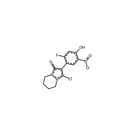 O=c1c(-c2cc([N+](=O)[O-])c(O)cc2F)c(Cl)n2n1CCCC2